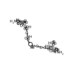 COP(=O)(O)OC[C@H]1OC(n2cnc3c(N)ncnc32)C(O)N(OCCOCCOCCOCCn2nnc3c2CCC2C(CC3)C2COC(=O)NCCOCCOP(=O)(O)OC[C@@H]2O[C@H](n3ccc4c(N)ncnc43)C(O)[C@@H]2OP(=O)(O)OC)C1O